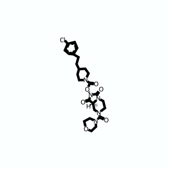 O=C(ON1C(=O)[C@@H]2CN(C(=O)N3CCOCC3)CCN2C1=O)N1CCC(CCc2ccc(Cl)cc2)CC1